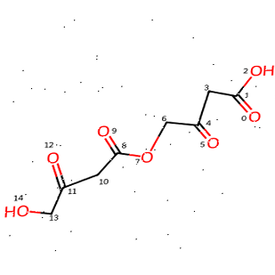 O=C(O)CC(=O)COC(=O)CC(=O)CO